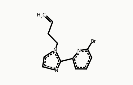 C=CCCn1ccnc1-c1cccc(Br)n1